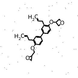 C=CCc1cc(-c2ccc(OC3COC3)c(CC=C)c2)ccc1OCC1CO1